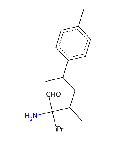 Cc1ccc(C(C)CC(C)C(N)(C=O)C(C)C)cc1